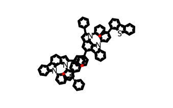 c1ccc(-c2cc3ccc4c5ccccc5n(-c5cccc(N(c6ccccc6)c6ccc7cc(-c8cc9cc(-c%10ccccc%10)n(-c%10ccccc%10)c9c9c8c8ccccc8n9-c8ccc(-c9cccc%10c9sc9ccccc9%10)cc8)ccc7c6)c5)c4c3n2-c2ccccc2)cc1